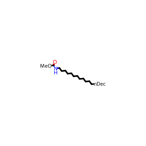 CCCCCCCCCCCCCCCCCCCCCCNC(=O)OC